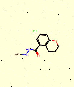 CCCNNC(=O)c1cccc2c1CCCO2.Cl